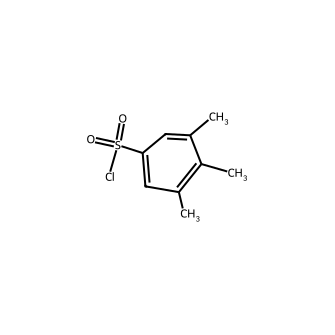 Cc1cc(S(=O)(=O)Cl)cc(C)c1C